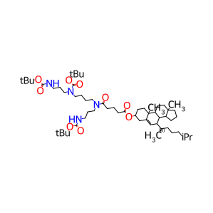 CC(C)CCC[C@@H](C)C1C=C2CC(OC(=O)CCCC(=O)N(CCCCN(CCCNC(=O)OC(C)(C)C)C(=O)OC(C)(C)C)CCCNC(=O)OC(C)(C)C)CCC2(C)C2CCC3(C)CCCC3C12